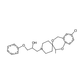 CC1Oc2ccc(Cl)cc2COC12CCN(CC(O)COc1ccccc1)CC2